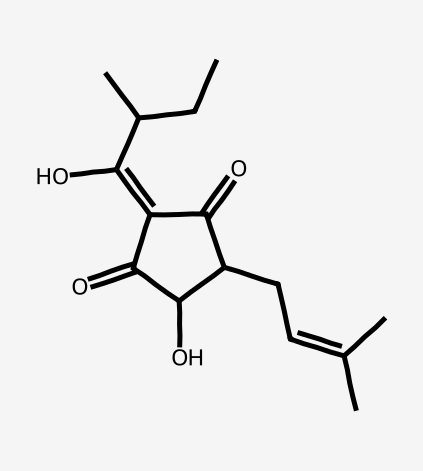 CCC(C)C(O)=C1C(=O)C(O)C(CC=C(C)C)C1=O